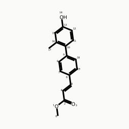 COC(=O)C=Cc1ccc(-c2ccc(O)cc2C)cc1